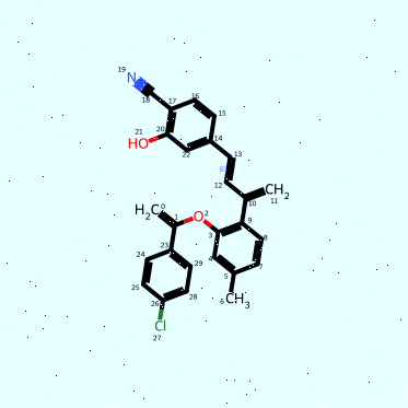 C=C(Oc1cc(C)ccc1C(=C)/C=C/c1ccc(C#N)c(O)c1)c1ccc(Cl)cc1